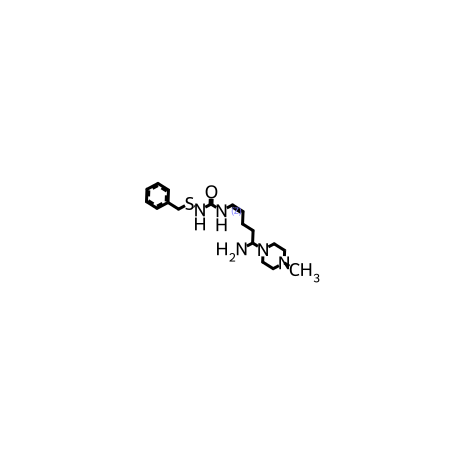 CN1CCN(C(N)CC/C=C\NC(=O)NSCc2ccccc2)CC1